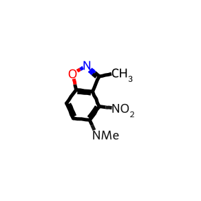 CNc1ccc2onc(C)c2c1[N+](=O)[O-]